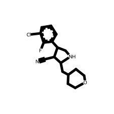 N#CC1C(CC2CCOCC2)NCC1c1cccc(Cl)c1F